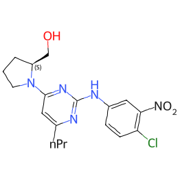 CCCc1cc(N2CCC[C@H]2CO)nc(Nc2ccc(Cl)c([N+](=O)[O-])c2)n1